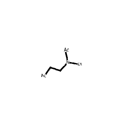 CCN(CCC(C)=O)C(C)=O